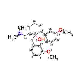 COc1cccc(CC2(O)C(CN(C)C)CCCC2c2cccc(OC)c2)c1